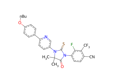 CCCCOc1ccc(-c2ccc(N3C(=S)N(c4ccc(C#N)c(C(F)(F)F)c4F)C(=O)C3(C)C)cn2)cc1